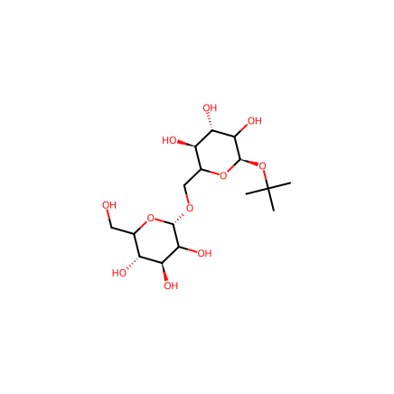 CC(C)(C)O[C@H]1OC(CO[C@H]2OC(CO)[C@@H](O)[C@H](O)C2O)[C@@H](O)[C@H](O)C1O